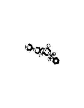 CN1C2CN(S(=O)(=O)c3ccccc3)CC(=O)N2CC12CCN(c1ccncc1)CC2